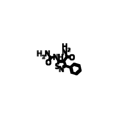 NC(=O)Nc1snc(-c2ccccc2)c1C(N)=O